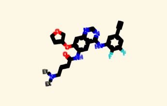 C#Cc1cc(F)c(F)c(Nc2ncnc3cc(OC4=CCOC4)c(NC(=O)/C=C/CN(CC)CC)cc23)c1